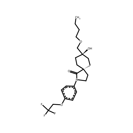 CCCCOC[C@]1(O)CC[C@@]2(CCN(c3ccc(OCC(F)(F)F)cc3)C2=O)CC1